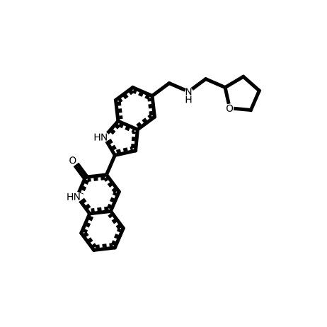 O=c1[nH]c2ccccc2cc1-c1cc2cc(CNCC3CCCO3)ccc2[nH]1